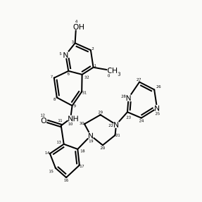 Cc1cc(O)nc2ccc(NC(=O)c3ccccc3N3CCN(c4cnccn4)CC3)cc12